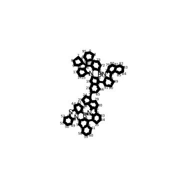 c1ccc(C2(c3ccccc3)c3ccccc3N3c4cc5cc(-c6cccc7c6ccc6c8cccc9c8n(c76)B6c7cccc8c7N(c7ccccc7S8)c7cc8ccccc8c-9c76)ccc5c5c4B(c4cccc2c43)n2c3ccc4ccccc4c3c3cccc-5c32)cc1